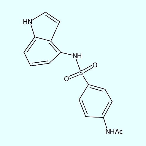 CC(=O)Nc1ccc(S(=O)(=O)Nc2cccc3[nH]ccc23)cc1